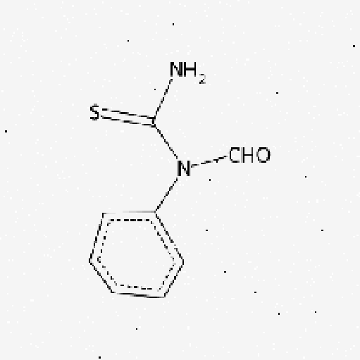 NC(=S)N(C=O)c1ccccc1